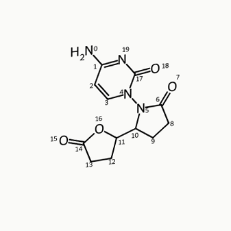 Nc1ccn(N2C(=O)CCC2C2CCC(=O)O2)c(=O)n1